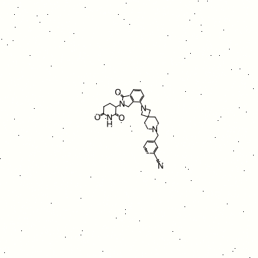 N#Cc1cccc(CN2CCC3(CC2)CN(c2cccc4c2CN(C2CCC(=O)NC2=O)C4=O)C3)c1